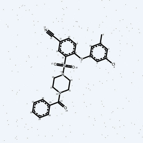 Cc1cc(Cl)cc(Sc2ccc(C#N)cc2S(=O)(=O)N2CCN(C(=O)c3ccccc3)CC2)c1